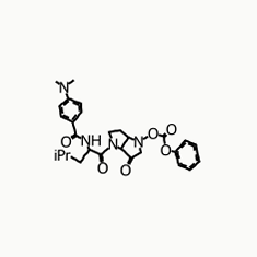 CC(C)CC(NC(=O)c1ccc(N(C)C)cc1)C(=O)N1CCC2C1C(=O)CN2OC(=O)Oc1ccccc1